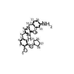 COc1ccc(Cc2cn(Cc3ccc(N)cc3)c(=O)[nH]2)cc1OC1CCCC1